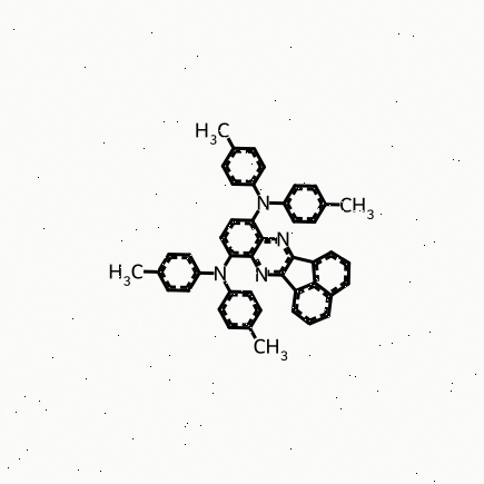 Cc1ccc(N(c2ccc(C)cc2)c2ccc(N(c3ccc(C)cc3)c3ccc(C)cc3)c3nc4c(nc23)-c2cccc3cccc-4c23)cc1